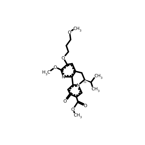 COCCCOc1cc2c(nc1OC)-c1cc(=O)c(C(=O)OC)cn1[C@H](C(C)C)C2